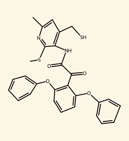 CSc1nc(C)cc(CS)c1NC(=O)C(=O)c1c(Oc2ccccc2)cccc1Oc1ccccc1